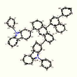 c1ccc(-c2ccc(-c3c4cccc(-c5ccc6c7ccccc7n(-c7ccccc7)c6c5)c4cc4c(-c5ccc6c7ccccc7n(-c7ccccc7)c6c5)cccc34)c3ccccc23)cc1